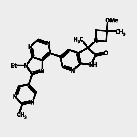 CCn1c(-c2cnc(C)nc2)nc2c(-c3cnc4c(c3)C(C)(N3CC(C)(OC)C3)C(=O)N4)ncnc21